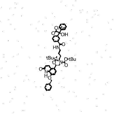 COC(=O)C(O)(c1ccccc1)c1cccc(C(=O)NCCCCN(C[C@H](O[Si](C)(C)C(C)(C)C)c2ccc(OCc3ccccc3)c3[nH]c(=O)ccc23)C(=O)OC(C)(C)C)c1